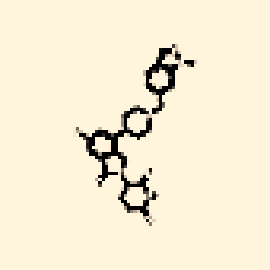 Cn1ncc2ccc(CN3CCC(c4cc(F)cc5c4CN(C4CCC(=O)NC4=O)C5=O)CC3)cc21